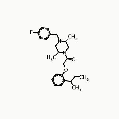 CCC(C)c1ccccc1OCC(=O)N1C[C@@H](C)N(Cc2ccc(F)cc2)C[C@@H]1C